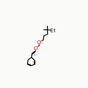 CCC(C)(C)CCCOCO/C=C/C1C=CC=CC1